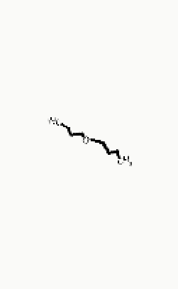 [CH]CCCOCCCC